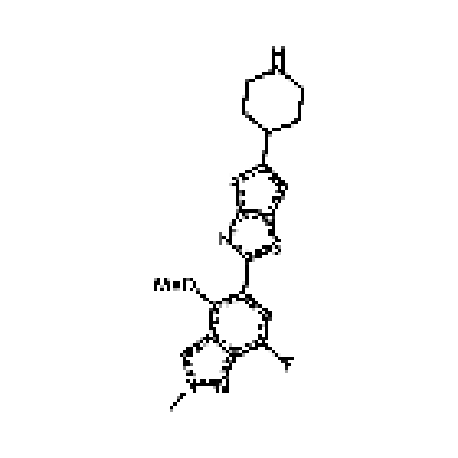 COc1c(-c2nc3sc(C4CCNCC4)cc3s2)cc(F)c2nn(C)cc12